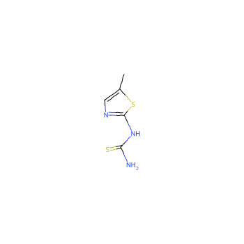 Cc1cnc(NC(N)=S)s1